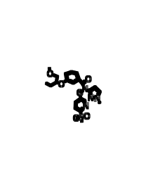 CCC(COC)Oc1cccc(C(=O)N(Oc2ccc(S(C)(=O)=O)nc2)c2ccn(C)n2)c1